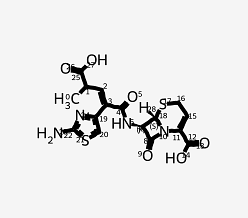 CC(C=C(C(=O)N[C@@H]1C(=O)N2C(C(=O)O)=CCS[C@@H]12)c1csc(N)n1)C(=O)O